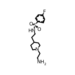 NCCN1CCC(CCNS(=O)(=O)c2ccc(F)cc2)CC1